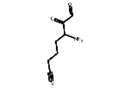 N#CCCCC(N)C(=O)C=O